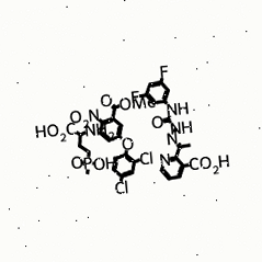 C/C(=N\NC(=O)Nc1cc(F)cc(F)c1)c1ncccc1C(=O)O.COC(=O)c1cc(Oc2ccc(Cl)cc2Cl)ccc1[N+](=O)[O-].CP(=O)(O)CCC(N)C(=O)O